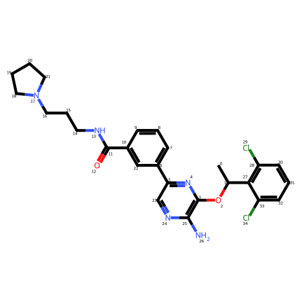 CC(Oc1nc(-c2cccc(C(=O)NCCCN3CCCC3)c2)cnc1N)c1c(Cl)cccc1Cl